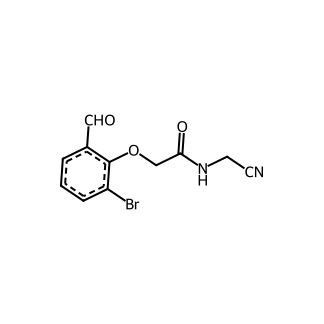 N#CCNC(=O)COc1c(Br)cccc1C=O